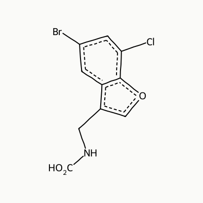 O=C(O)NCc1coc2c(Cl)cc(Br)cc12